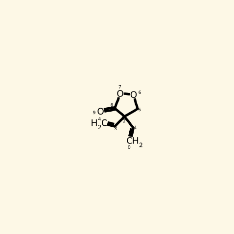 C=CC1(C=C)COOC1=O